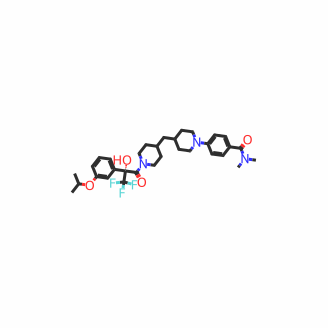 CC(C)Oc1cccc([C@@](O)(C(=O)N2CCC(CC3CCN(c4ccc(C(=O)N(C)C)cc4)CC3)CC2)C(F)(F)F)c1